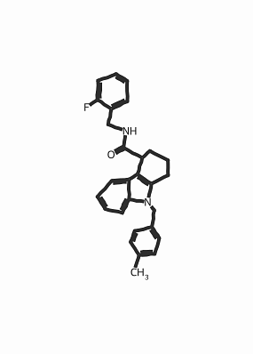 Cc1ccc(Cn2c3c(c4ccccc42)C(C(=O)NCc2ccccc2F)CCC3)cc1